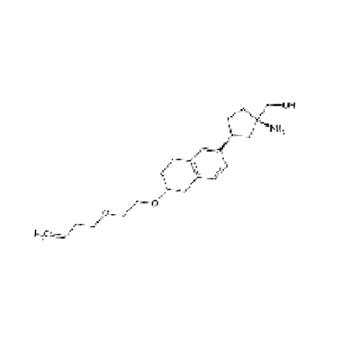 C=CCCOCCO[C@@H]1CCc2cc([C@H]3CC[C@](N)(CO)C3)ccc2C1